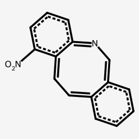 O=[N+]([O-])c1cccc2c1=CC=c1ccccc1=CN=2